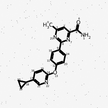 Cc1cc(C(N)=O)nc(-c2ccc(Oc3ccc(C4CC4)cn3)cc2)n1